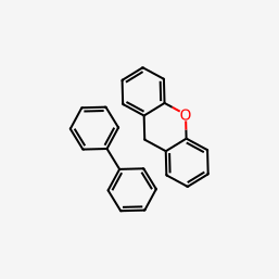 c1ccc(-c2ccccc2)cc1.c1ccc2c(c1)Cc1ccccc1O2